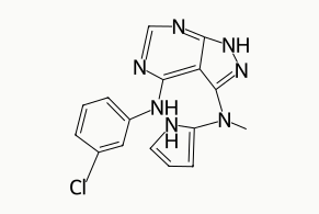 CN(c1ccc[nH]1)c1n[nH]c2ncnc(Nc3cccc(Cl)c3)c12